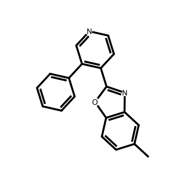 Cc1ccc2oc(-c3ccncc3-c3ccccc3)nc2c1